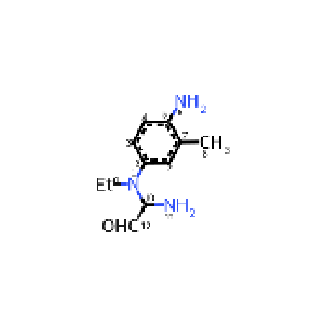 CCN(c1ccc(N)c(C)c1)C(N)C=O